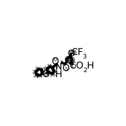 O=C(NCC(=O)N1CC(OC(F)(F)F)CC1C(=O)O)c1ccc(Oc2ccccc2)cc1